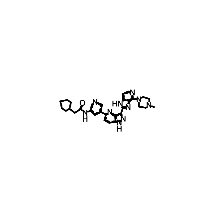 CN1CCN(c2nccc3[nH]c(-c4n[nH]c5ccc(-c6cncc(NC(=O)CC7CCCCC7)c6)nc45)nc23)CC1